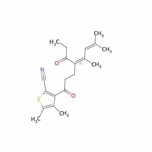 CCC(=O)/C(CCC(=O)c1c(C#N)sc(C)c1C)=C(/C)C=C(C)C